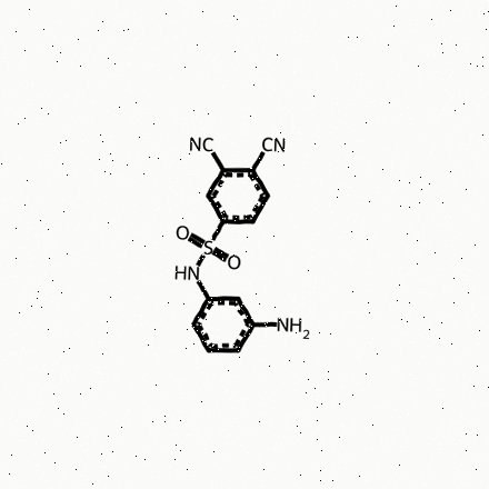 N#Cc1ccc(S(=O)(=O)Nc2cccc(N)c2)cc1C#N